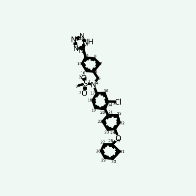 CS(=O)(=O)N(Cc1ccc(-c2nnn[nH]2)cc1)c1ccc(-c2ccc(Oc3ccccc3)cc2)c(Cl)c1